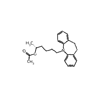 CC(=O)O[C@H](C)CCCCN1c2ccccc2CCc2ccccc21